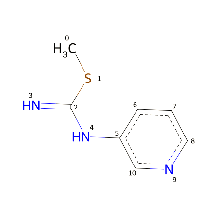 CSC(=N)Nc1cccnc1